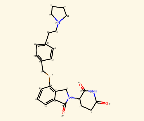 O=C1CCC(N2Cc3c(SCc4ccc(CCN5CCCC5)cc4)cccc3C2=O)C(=O)N1